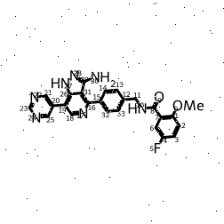 COc1ccc(F)cc1C(=O)NCc1ccc(-c2ncc(-c3cncnc3)c3[nH]nc(N)c23)cc1